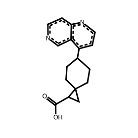 O=C(O)C1CC12CCC(c1ccnc3ccncc13)CC2